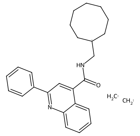 O=C(NC[C]1CCCCCCC1)c1cc(-c2ccccc2)nc2ccccc12.[CH2].[CH2]